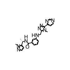 C[C@H](NC(=O)c1cccc(NCc2nnc(-c3ccncn3)n2C)c1)c1ccnn1C